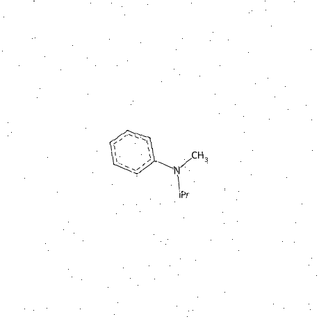 CC(C)N(C)c1[c]cccc1